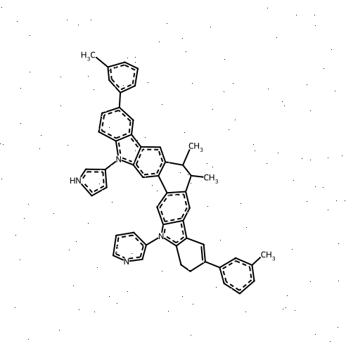 Cc1cccc(C2=Cc3c(n(-c4cccnc4)c4cc5c(cc34)C(C)C(C)c3cc4c6cc(-c7cccc(C)c7)ccc6n(-c6cc[nH]c6)c4cc3-5)CC2)c1